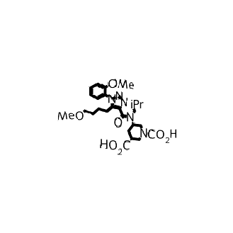 COCCCCc1c(C(=O)N(CC(C)C)[C@H]2C[C@@H](C(=O)O)CN(C(=O)O)C2)nnn1-c1ccccc1OC